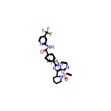 C=CS(=O)(=O)N1CCCCC1C1=C2C=NC=C[N+]2([AsH2])C(c2ccc(C(=O)Nc3cc(C(F)(F)F)ccn3)cc2)=N1